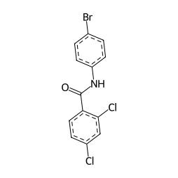 O=C(Nc1ccc(Br)cc1)c1ccc(Cl)cc1Cl